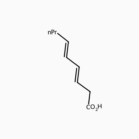 CCCC=CC=CCC(=O)O